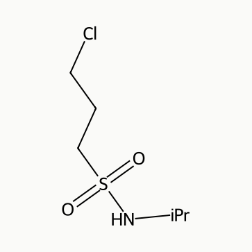 CC(C)NS(=O)(=O)CCCCl